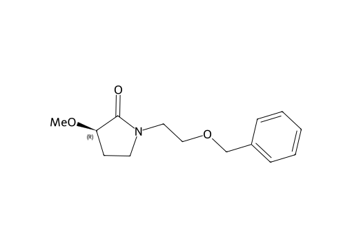 CO[C@@H]1CCN(CCOCc2ccccc2)C1=O